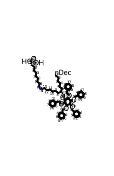 CCCCCCCCCCCCCCCCC(CCCCCC/C=C\CCCCCCCCP(=O)(O)O)SO[C@@H]1[C@@H](OCc2ccccc2)[C@H](OCc2ccccc2)[C@@H](OCc2ccccc2)[C@H](OCc2ccccc2)[C@@H]1OCc1ccccc1